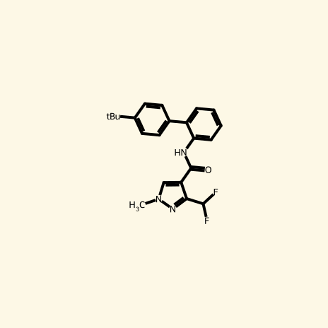 Cn1cc(C(=O)Nc2ccccc2-c2ccc(C(C)(C)C)cc2)c(C(F)F)n1